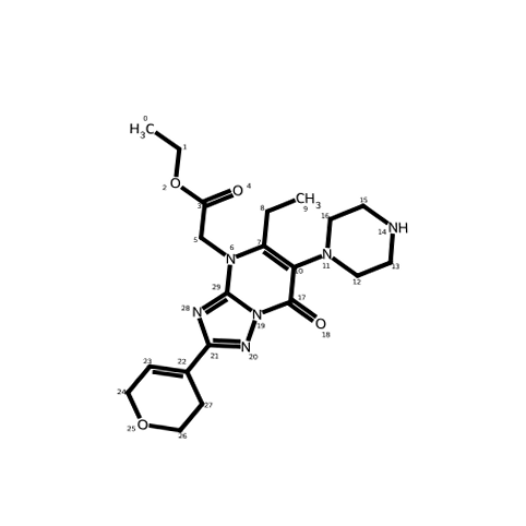 CCOC(=O)Cn1c(CC)c(N2CCNCC2)c(=O)n2nc(C3=CCOCC3)nc12